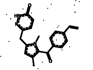 C=Cc1ccc(C(=O)c2c(C)cc(Cc3ccc(=O)[nH]n3)n2C)cc1